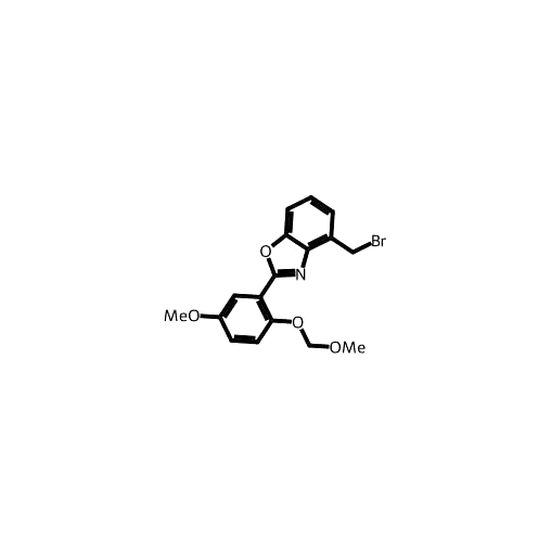 COCOc1ccc(OC)cc1-c1nc2c(CBr)cccc2o1